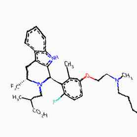 Cc1c(OCCN(C)CCCF)ccc(F)c1[C@@H]1c2[nH]c3ccccc3c2C[C@@H](C(F)(F)F)N1CC(C)C(=O)O